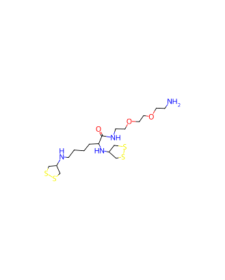 NCCOCCOCCNC(=O)C(CCCCNC1CSSC1)NC1CSSC1